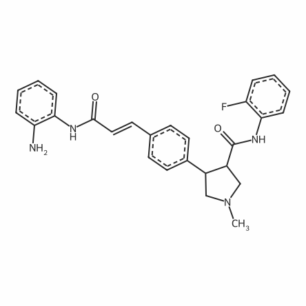 CN1CC(C(=O)Nc2ccccc2F)C(c2ccc(/C=C/C(=O)Nc3ccccc3N)cc2)C1